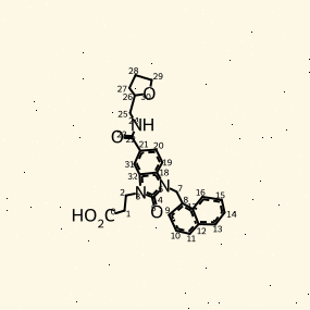 O=C(O)CCn1c(=O)n(Cc2cccc3ccccc23)c2ccc(C(=O)NCC3CCCO3)cc21